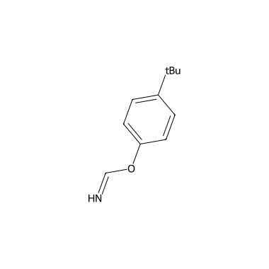 CC(C)(C)c1ccc(OC=N)cc1